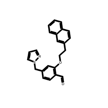 O=Cc1ccc(Cn2cccn2)cc1OCCc1ccc2ccccc2c1